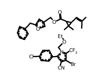 CC(C)=CC1C(C(=O)OCc2coc(Cc3ccccc3)c2)C1(C)C.CCOCn1c(-c2ccc(Cl)cc2)c(C#N)c(Br)c1C(F)(F)F